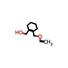 C=COCC1=C(CO)CCCC1